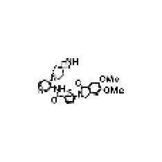 COc1cc2c(cc1OC)C(=O)N(c1ccc(C(=O)Nc3cnccc3N3CCC4(CC3)CNC4)s1)C2